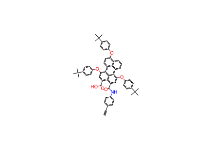 C#Cc1ccc(NC(=O)c2cc(Oc3ccc(C(C)(C)C)cc3)c3c4cccc5c(Oc6ccc(C(C)(C)C)cc6)ccc(c6c(Oc7ccc(C(C)(C)C)cc7)cc(C(=O)O)c2c63)c54)cc1